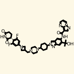 CC(C)(O)c1cc2nn(C3CCC(N4CCN(CC5CN(c6cc(F)c([C@H]7CCC(=O)NC7=O)c(F)c6)C5)CC4)CC3)cc2cc1NC(=O)c1cnn2cccnc12